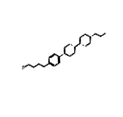 CCC[C@H]1CC[C@H]([C@H]2CC[C@H](c3ccc(CCCCF)cc3)CC2)CC1